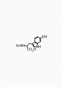 CC(=O)N[C@@H](Cc1c[nH]c2cc(O)ccc12)C(=O)O